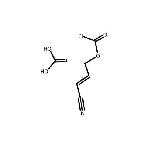 N#C/C=C/COC(=O)Cl.O=C(O)O